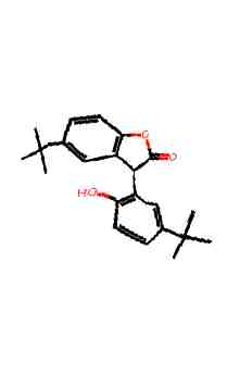 CC(C)(C)c1ccc(O)c([C@@H]2C(=O)Oc3ccc(C(C)(C)C)cc32)c1